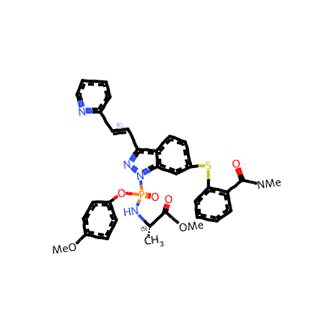 CNC(=O)c1ccccc1Sc1ccc2c(/C=C/c3ccccn3)nn(P(=O)(N[C@@H](C)C(=O)OC)Oc3ccc(OC)cc3)c2c1